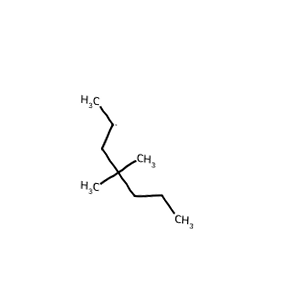 C[CH]CC(C)(C)CCC